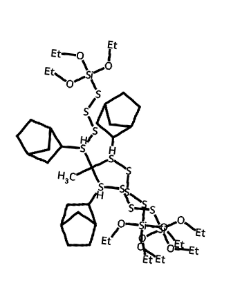 CCO[Si](OCC)(OCC)SSS[SH](C1CC2CCC1C2)C(C)([SH](SSS[Si](OCC)(OCC)OCC)C1CC2CCC1C2)[SH](SSS[Si](OCC)(OCC)OCC)C1CC2CCC1C2